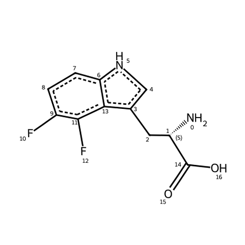 N[C@@H](Cc1c[nH]c2ccc(F)c(F)c12)C(=O)O